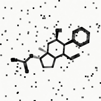 C=CC1C2CC[C@H](OC(=O)C(C)(C)C)[C@@]2(C)C[C@@H](O)[C@H]1c1ccccc1